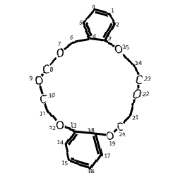 c1ccc2c(c1)COCOCCOc1ccccc1OCCOCCO2